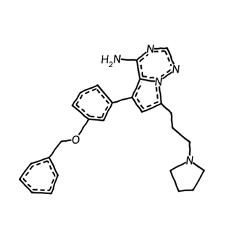 Nc1ncnn2c(CCCN3CCCC3)cc(-c3cccc(OCc4ccccc4)c3)c12